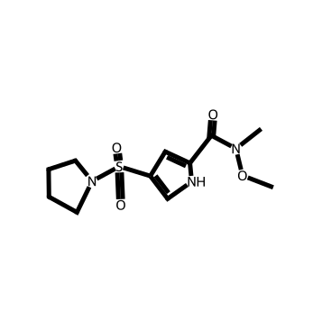 CON(C)C(=O)c1cc(S(=O)(=O)N2CCCC2)c[nH]1